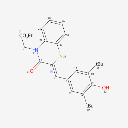 CCOC(=O)CN1C(=O)/C(=C/c2cc(C(C)(C)C)c(O)c(C(C)(C)C)c2)Sc2ccccc21